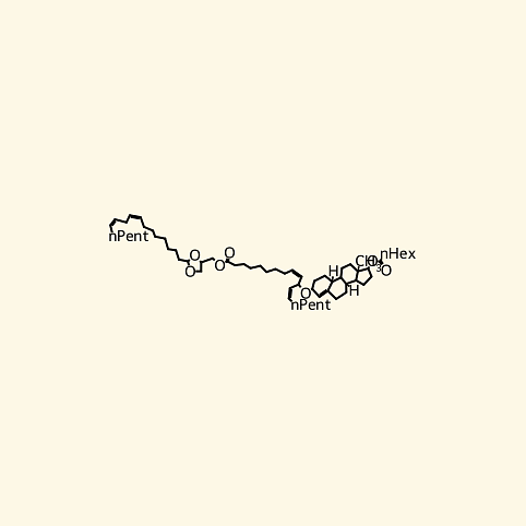 CCCCC/C=C\C/C=C\CCCCCCCC1OCC(COC(=O)CCCCCCC/C=C\C(/C=C\CCCCC)OC2C=C3CC[C@@H]4C(CC[C@@]5(C)C4CC[C@@H]5OC(=O)CCCCCC)[C@H]3CC2)O1